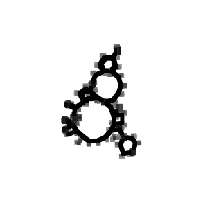 C[C@@H]1[C@@H](C)CCC[C@](C)(CN2CCOCC2)[C@@H]2CC[C@H]2CN2CCCCc3cc(Cl)ccc3COc3ccc(cc32)C(=O)NS1(=O)=O